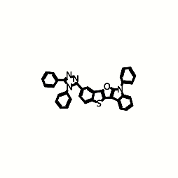 c1ccc(-c2nnc(-c3ccc4sc5c(oc6c5c5ccccc5n6-c5ccccc5)c4c3)n2-c2ccccc2)cc1